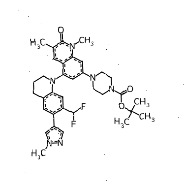 Cc1cc2c(N3CCCc4cc(-c5cnn(C)c5)c(C(F)F)cc43)cc(N3CCN(C(=O)OC(C)(C)C)CC3)cc2n(C)c1=O